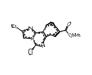 CCc1cn2c(Cl)nc3cc(C(=O)OC)ccc3c2n1